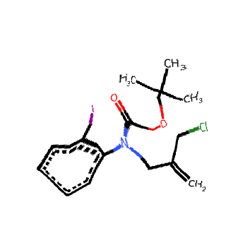 C=C(CCl)CN(C(=O)OC(C)(C)C)c1ccccc1I